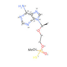 COP(=O)(S)OCCO[C@H](C)n1cnc2c(N)ncnc21